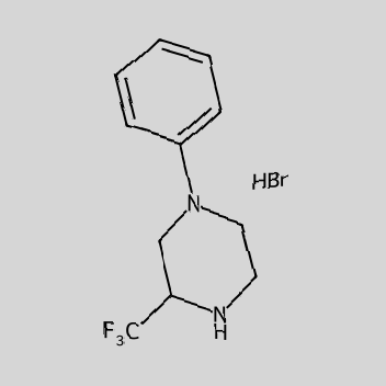 Br.FC(F)(F)C1CN(c2ccccc2)CCN1